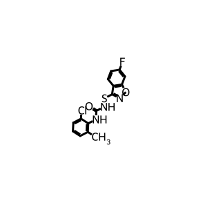 Cc1cccc(Cl)c1NC(=O)NSc1noc2cc(F)ccc12